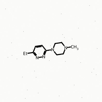 CCc1ccc(N2CCN(C)CC2)nn1